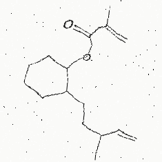 C=CC(C)CCC1CCCCC1OC(=O)C(=C)C